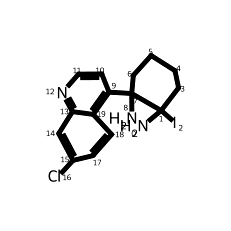 NC1(I)CCCCC1(N)c1ccnc2cc(Cl)ccc12